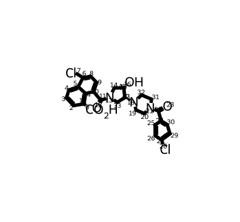 O=C(O)c1cccc2c(Cl)ccc(C(=O)N3C[C@H](O)[C@@H](N4CCN(C(=O)c5ccc(Cl)cc5)CC4)C3)c12